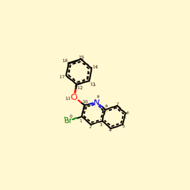 Brc1cc2ccccc2nc1Oc1ccccc1